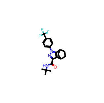 CC(C)(C)NC(=O)c1nn(-c2ccc(C(F)(F)F)cc2)c2c1C1CCC2CC1